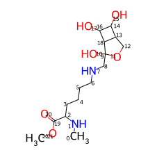 CNC(CCCCNCC1(O)OCC2C(O)C(O)C21)C(=O)OC